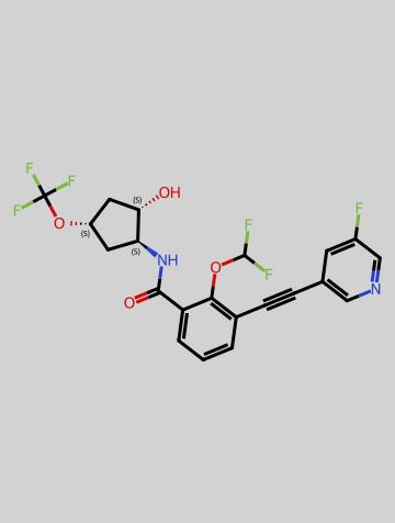 O=C(N[C@H]1C[C@H](OC(F)(F)F)C[C@@H]1O)c1cccc(C#Cc2cncc(F)c2)c1OC(F)F